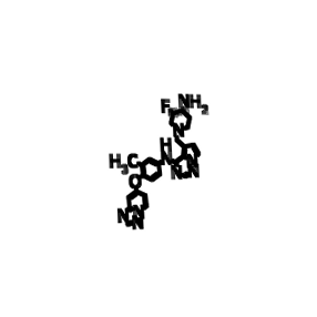 Cc1cc(Nc2ncnn3ccc(CN4CC[C@@H](N)[C@H](F)C4)c23)ccc1Oc1ccn2ncnc2c1